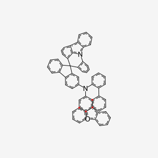 c1ccc(-c2cccc(-c3ccccc3N(c3ccc4c(c3)C3(c5ccccc5-4)c4ccccc4-n4c5ccccc5c5cccc3c54)c3ccc4oc5ccccc5c4c3)c2)cc1